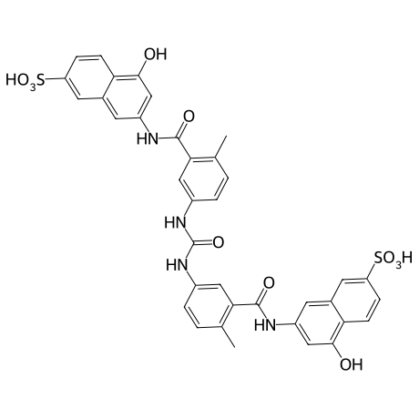 Cc1ccc(NC(=O)Nc2ccc(C)c(C(=O)Nc3cc(O)c4ccc(S(=O)(=O)O)cc4c3)c2)cc1C(=O)Nc1cc(O)c2ccc(S(=O)(=O)O)cc2c1